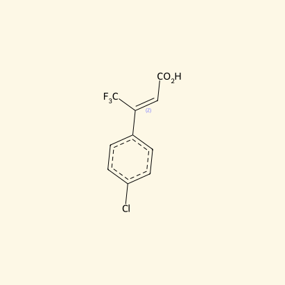 O=C(O)/C=C(/c1ccc(Cl)cc1)C(F)(F)F